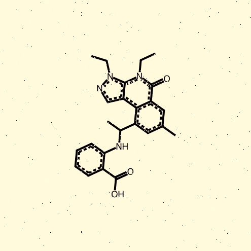 CCn1ncc2c3c(C(C)Nc4ccccc4C(=O)O)cc(C)cc3c(=O)n(CC)c21